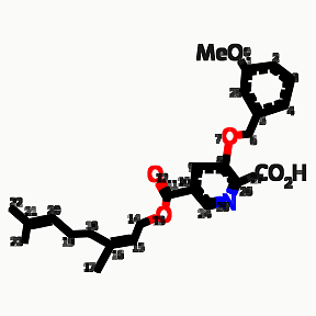 COc1cccc(COc2cc(C(=O)OCC=C(C)CCC=C(C)C)cnc2C(=O)O)c1